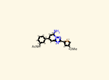 COc1csc(-c2nc3cc(-c4cccc(NC(C)=O)c4)cc(N)n3n2)c1